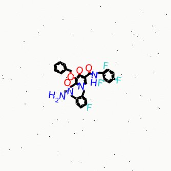 NCN1Cc2ccc(F)cc2Cn2cc(C(=O)NCc3c(F)cc(F)cc3F)c(=O)c(OCc3ccccc3)c2C1=O